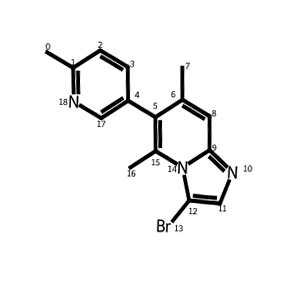 Cc1ccc(-c2c(C)cc3ncc(Br)n3c2C)cn1